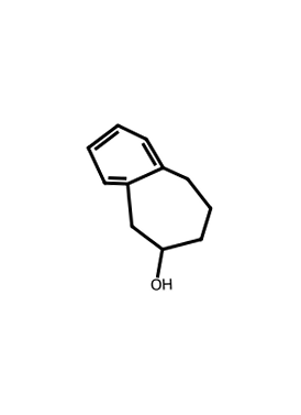 OC1CCCc2ccccc2C1